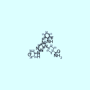 NC(=O)[C@H]1CC[C@@H](n2c(Nc3c(F)cccc3F)nc3cnc(NC4CCOCC4)nc32)CC1